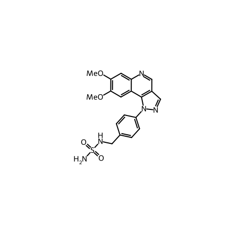 COc1cc2ncc3cnn(-c4ccc(CNS(N)(=O)=O)cc4)c3c2cc1OC